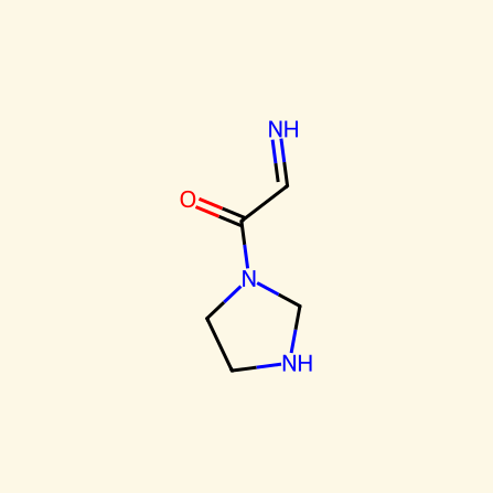 N=CC(=O)N1CCNC1